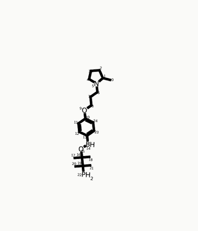 CC1CCCN1CCCOc1ccc(BOC(C)(C)C(C)(C)P)cc1